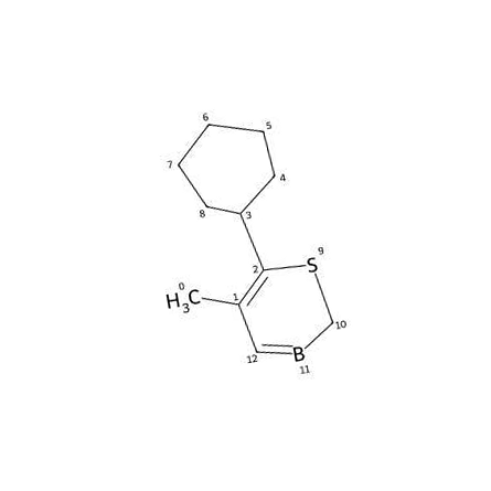 CC1=C(C2CCCCC2)SCB=C1